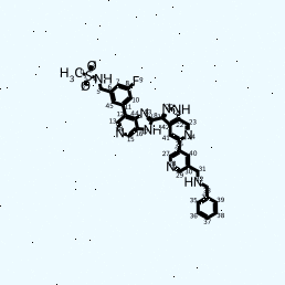 CS(=O)(=O)NCc1cc(F)cc(-c2cncc3[nH]c(-c4n[nH]c5cnc(-c6cncc(CNCc7ccccc7)c6)cc45)nc23)c1